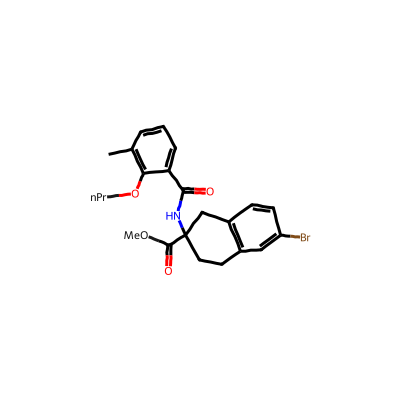 CCCOc1c(C)cccc1C(=O)NC1(C(=O)OC)CCc2cc(Br)ccc2C1